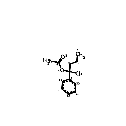 CCCC(Cl)(OC(N)=O)c1ccccc1